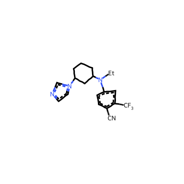 CCN(c1ccc(C#N)c(C(F)(F)F)c1)C1CCCC(n2ccnc2)C1